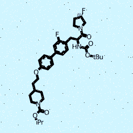 CC(C)OC(=O)N1CCC(CCOc2ccc(-c3ccc(CC(NC(=O)OC(C)(C)C)C(=O)N4CC[C@H](F)C4)c(F)c3)cc2)CC1